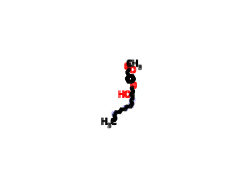 CC/C=C\CC/C=C/C=C\C=C\[C@@H](O)CCOc1ccc(CC(=O)OC)cc1